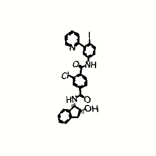 O=C(N[C@H]1c2ccccc2C[C@H]1O)c1ccc(C(=O)Nc2ccc(I)c(-c3ccccn3)c2)c(Cl)c1